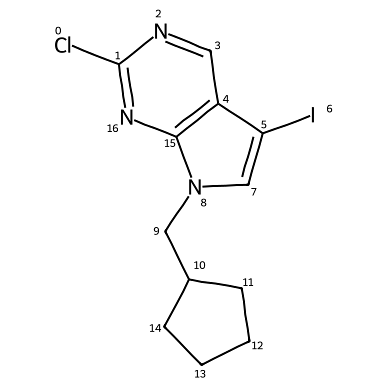 Clc1ncc2c(I)cn(CC3CCCC3)c2n1